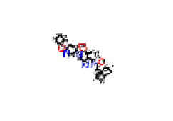 O=C(CC12CC3CC(CC(C3)C1)C2)Nc1cccc2c(=O)n(-c3ccc(Oc4ccccc4)nc3)ccc12